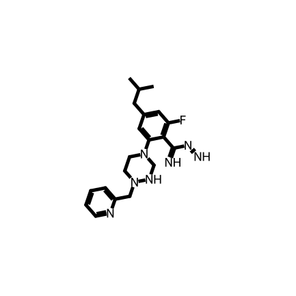 CC(C)Cc1cc(F)c(C(=N)N=N)c(N2CCN(Cc3ccccn3)NC2)c1